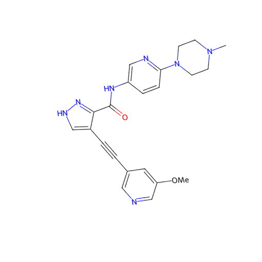 COc1cncc(C#Cc2c[nH]nc2C(=O)Nc2ccc(N3CCN(C)CC3)nc2)c1